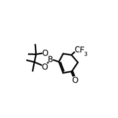 CC1(C)OB(C2=CC(=O)CC(C(F)(F)F)C2)OC1(C)C